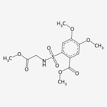 COC(=O)CNS(=O)(=O)c1cc(OC)c(OC)cc1C(=O)OC